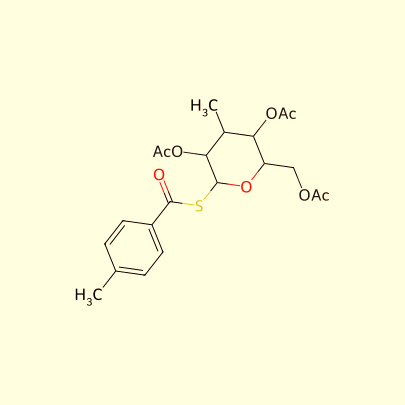 CC(=O)OCC1OC(SC(=O)c2ccc(C)cc2)C(OC(C)=O)C(C)C1OC(C)=O